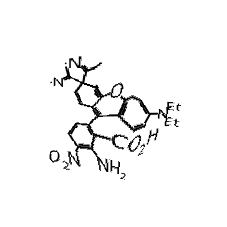 CCN(CC)c1ccc2c(c1)OC1=CC(C(C)=[N])(C(C)=[N])C=CC1=C2c1ccc([N+](=O)[O-])c(N)c1C(=O)O